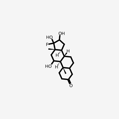 C[C@]12CCC(=O)CC1CC[C@@H]1[C@@H]2C(O)C[C@@]2(C)[C@H]1CC(O)C2(O)F